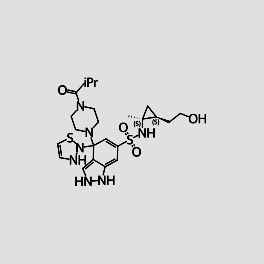 CC(C)C(=O)N1CCN(C2(N3NC=CS3)C=C(S(=O)(=O)N[C@@]3(C)C[C@H]3CCO)C=C3NNC=C32)CC1